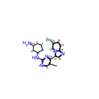 Cc1cnc(NC2CCCC(N)C2)nc1-c1cnc2ccc(Br)cn12